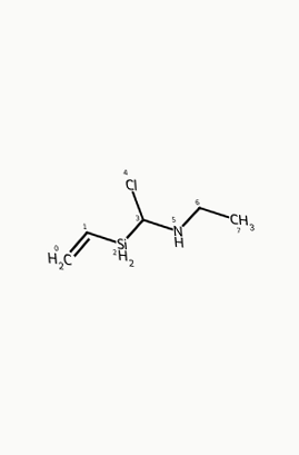 C=C[SiH2]C(Cl)NCC